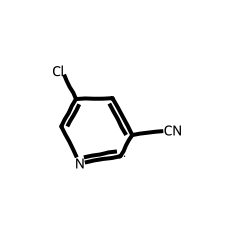 N#Cc1[c]ncc(Cl)c1